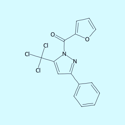 O=C(c1ccco1)n1nc(-c2ccccc2)cc1C(Cl)(Cl)Cl